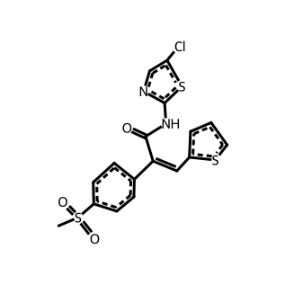 CS(=O)(=O)c1ccc(C(=Cc2cccs2)C(=O)Nc2ncc(Cl)s2)cc1